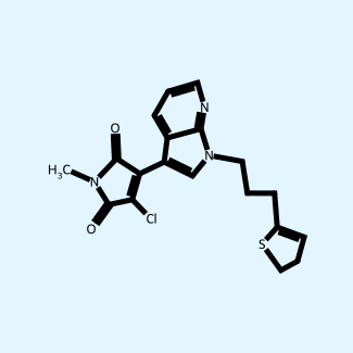 CN1C(=O)C(Cl)=C(c2cn(CCCC3=CCCS3)c3ncccc23)C1=O